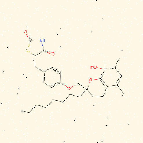 CCCCCCCCC1(COc2ccc(CC3SC(=O)NC3=O)cc2)CCC2=C(O1)C(C)(O)C(C)C=C2C